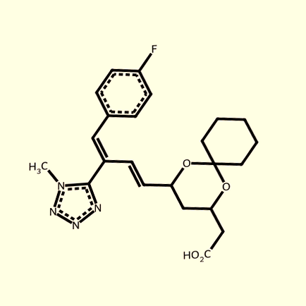 Cn1nnnc1C(C=CC1CC(CC(=O)O)OC2(CCCCC2)O1)=Cc1ccc(F)cc1